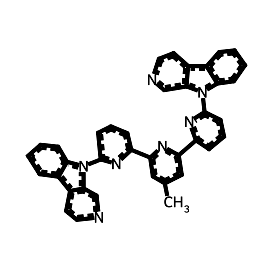 Cc1cc(-c2cccc(-n3c4ccccc4c4ccncc43)n2)nc(-c2cccc(-n3c4ccccc4c4ccncc43)n2)c1